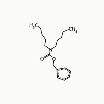 CCCCCN(CCCCC)C(=O)OCc1ccccc1